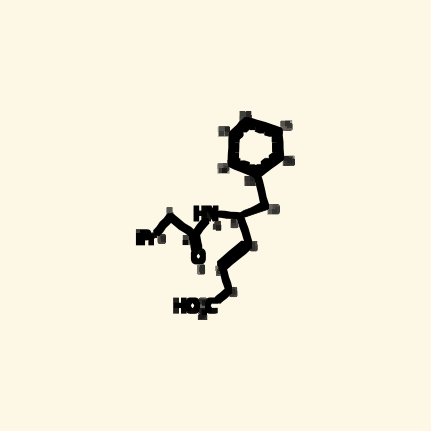 CC(C)CC(=O)N[C@H](/C=C/CC(=O)O)Cc1ccccc1